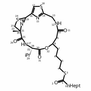 CCCCCCCC(=O)SCCCCC1CC(=O)NCc2nc(cs2)C2=N[C@@](C)(CS2)C(=O)N[C@@H](C(C)C)C(=O)O1